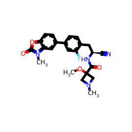 COC1(C(=O)N[C@H](C#N)Cc2ccc(-c3ccc4oc(=O)n(C)c4c3)cc2F)CN(C)C1